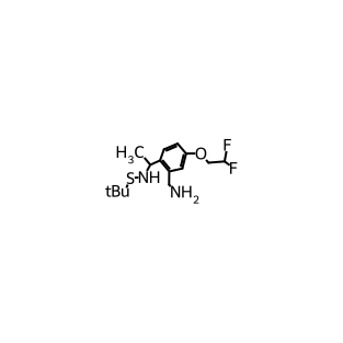 CC(NSC(C)(C)C)c1ccc(OCC(F)F)cc1CN